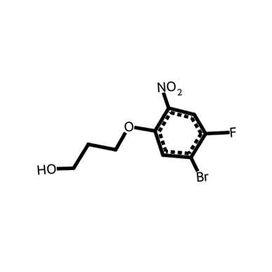 O=[N+]([O-])c1cc(F)c(Br)cc1OCCCO